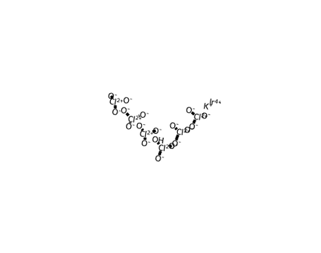 [Ir+4].[K+].[O-][Cl+2]([O-])O.[O-][Cl+2]([O-])[O-].[O-][Cl+2]([O-])[O-].[O-][Cl+2]([O-])[O-].[O-][Cl+2]([O-])[O-].[O-][Cl+2]([O-])[O-]